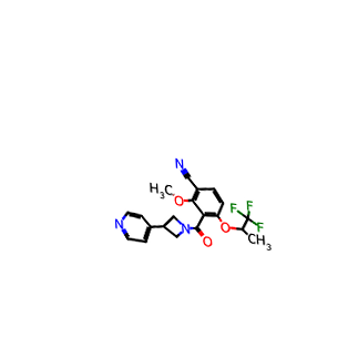 COc1c(C#N)ccc(OC(C)C(F)(F)F)c1C(=O)N1CC(c2ccncc2)C1